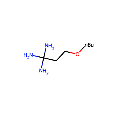 CCCCOCCC(N)(N)N